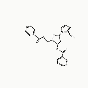 O=C(OCC1OC(n2ccnc2[N+](=O)[O-])CC1OC(=O)c1ccccc1)c1ccccc1